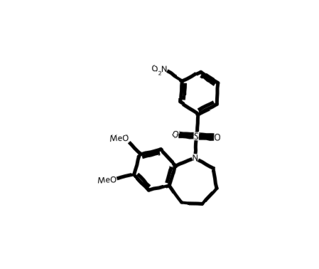 COc1cc2c(cc1OC)N(S(=O)(=O)c1cccc([N+](=O)[O-])c1)CCCC2